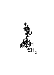 C=C=C1N[C@H]2[C@H](CS[C@H]2CCCCC(=O)N2CCN(I)CC2)N1